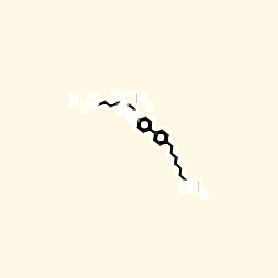 CCCCCCCCc1ccc(-c2ccc(OCC(C)OC(=O)CCCC)cc2)cc1